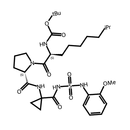 COc1ccccc1NS(=O)(=O)NC(=O)C1(NC(=O)[C@@H]2CCCN2C(=O)[C@H](CCCCCC(C)C)NC(=O)OC(C)(C)C)CC1